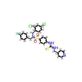 O=S(=O)(c1ccc(NC(=S)NCc2ccncc2)cc1)N(Cc1ccc(F)cc1)Cc1ccc(Cl)cc1Cl